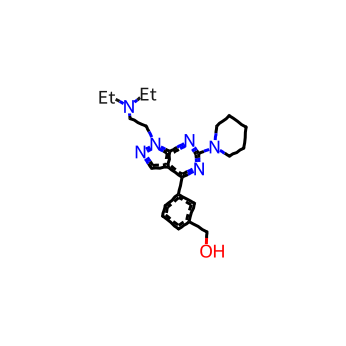 CCN(CC)CCn1ncc2c(-c3cccc(CO)c3)nc(N3CCCCC3)nc21